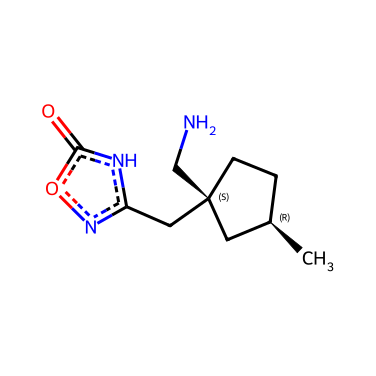 C[C@@H]1CC[C@@](CN)(Cc2noc(=O)[nH]2)C1